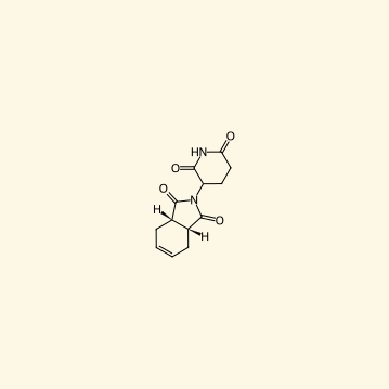 O=C1CCC(N2C(=O)[C@H]3CC=CC[C@H]3C2=O)C(=O)N1